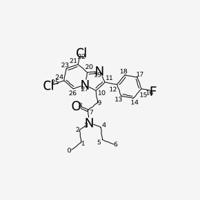 CCCN(CCC)C(=O)Cc1c(-c2ccc(F)cc2)nc2c(Cl)cc(Cl)cn12